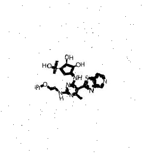 Cc1nc(NCCOC(C)C)nc(NC2C[C@H](C(C)(C)O)[C@@H](O)[C@H]2O)c1-c1nc2cnccc2s1